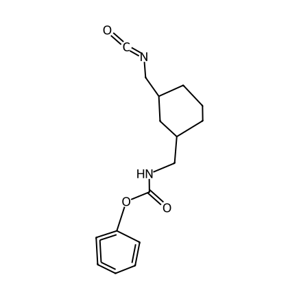 O=C=NCC1CCCC(CNC(=O)OC2=C=C=CC=C2)C1